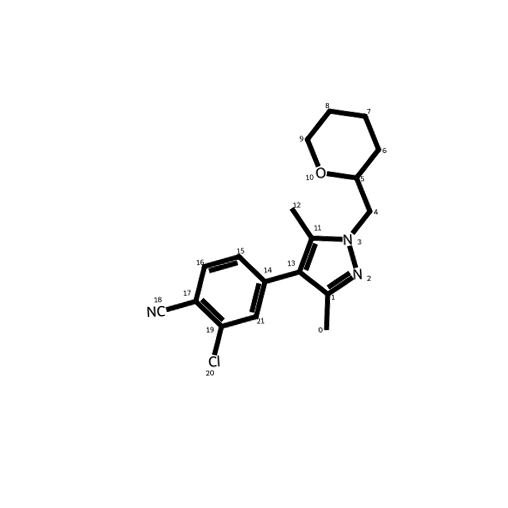 Cc1nn(CC2CCCCO2)c(C)c1-c1ccc(C#N)c(Cl)c1